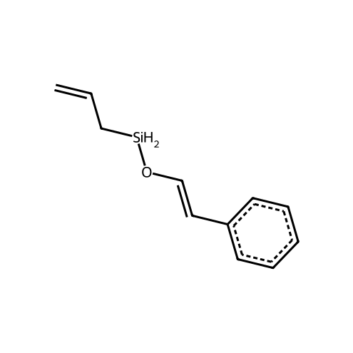 C=CC[SiH2]OC=Cc1ccccc1